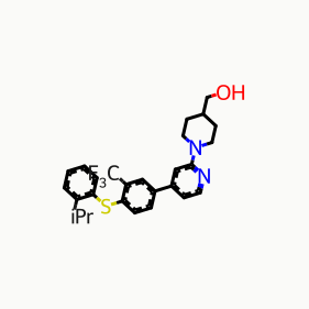 CC(C)c1ccccc1Sc1ccc(-c2ccnc(N3CCC(CO)CC3)c2)cc1C(F)(F)F